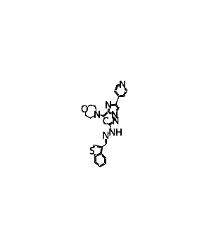 C(=NNc1cc(N2CCOCC2)c2nc(-c3ccncc3)cn2n1)c1csc2ccccc12